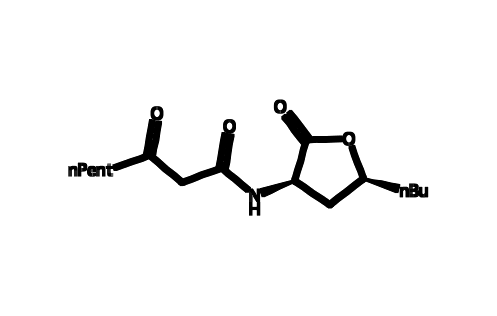 CCCCCC(=O)CC(=O)N[C@@H]1C[C@H](CCCC)OC1=O